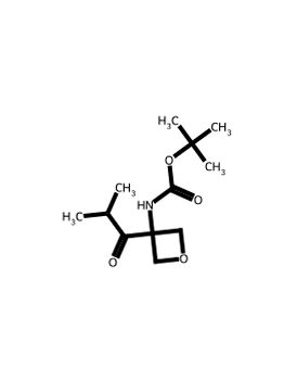 CC(C)C(=O)C1(NC(=O)OC(C)(C)C)COC1